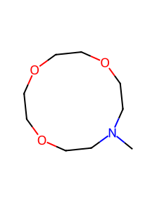 CN1CCOCCOCCOCC1